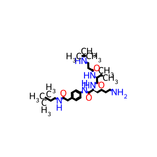 CC(C)[C@H](NC(=O)CCNC(C)(C)C)C(=O)N[C@@H](CCCCN)C(=O)Nc1ccc(CC(=O)NCCC(C)(C)C)cc1